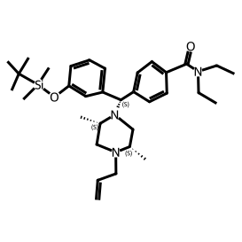 C=CCN1C[C@H](C)N([C@@H](c2ccc(C(=O)N(CC)CC)cc2)c2cccc(O[Si](C)(C)C(C)(C)C)c2)C[C@@H]1C